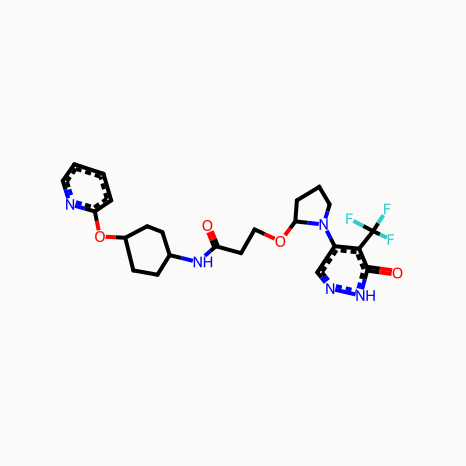 O=C(CCOC1CCCN1c1cn[nH]c(=O)c1C(F)(F)F)NC1CCC(Oc2ccccn2)CC1